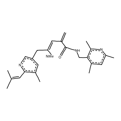 C=C(/C=C(/Cc1cnc(C=C(C)C)c(C)c1)NC)C(=O)NCc1c(C)cc(C)nc1C